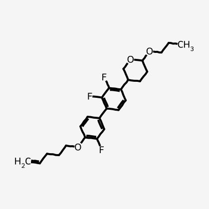 C=CCCCOc1ccc(-c2ccc(C3CCC(OCCC)OC3)c(F)c2F)cc1F